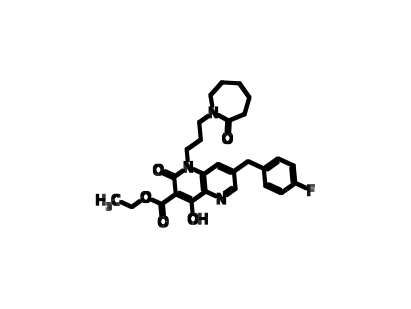 CCOC(=O)c1c(O)c2ncc(Cc3ccc(F)cc3)cc2n(CCCN2CCCCCC2=O)c1=O